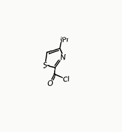 CC(C)c1csc(C(=O)Cl)n1